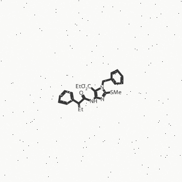 CCOC(=O)c1c(NC(=O)C(CC)c2ccccc2)nc(SC)n1Cc1ccccc1